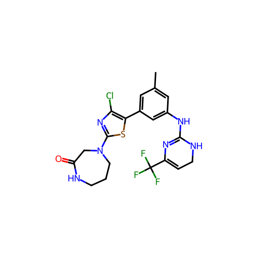 Cc1cc(NC2=NC(C(F)(F)F)=CCN2)cc(-c2sc(N3CCCNC(=O)C3)nc2Cl)c1